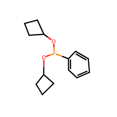 c1ccc(P(OC2CCC2)OC2CCC2)cc1